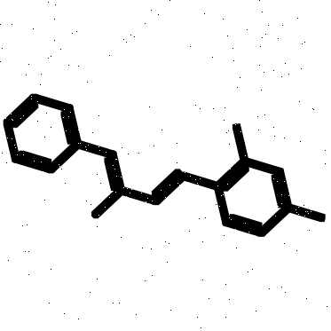 CC(C=Cc1ccc(C)cc1C)=Cc1ccccc1